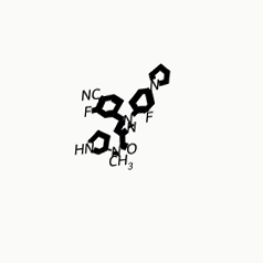 CN(C(=O)c1cc(-c2ccc(C#N)c(F)c2)n(-c2ccc(N3CCCC3)cc2F)n1)[C@H]1CCCNC1